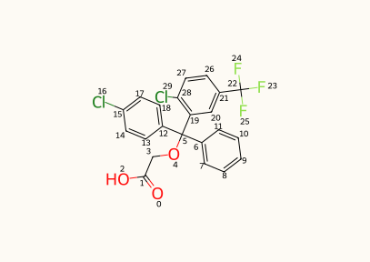 O=C(O)COC(c1ccccc1)(c1ccc(Cl)cc1)c1cc(C(F)(F)F)ccc1Cl